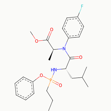 CCCP(=O)(N[C@@H](CC(C)C)C(=O)N(c1ccc(F)cc1)[C@@H](C)C(=O)OC)Oc1ccccc1